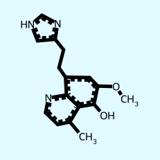 COc1cc(CCc2c[nH]cn2)c2nccc(C)c2c1O